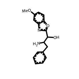 COc1ccc2oc(C(O)C(N)Cc3ccccc3)nc2c1